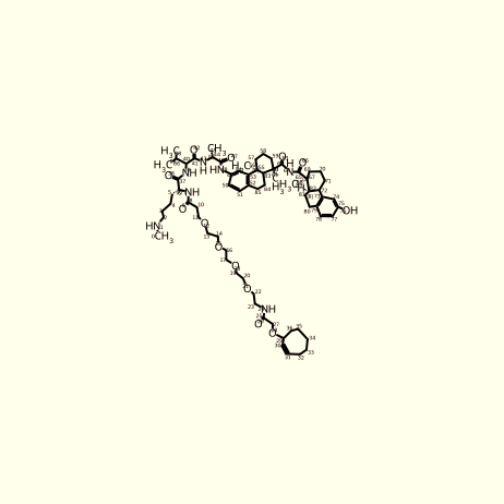 CNCCCC[C@@H](NC(=O)CCOCCOCCOCCOCCNC(=O)COC1C#CCCCCC1)C(=O)NC(C(=O)N[C@@H](C)C(=O)Nc1ccc2c(c1)[C@@]1(C)CCC[C@](C)(C(=O)NC(=O)[C@@]3(C)CCCC4c5cc(O)ccc5CC[C@H]43)C1CC2)C(C)C